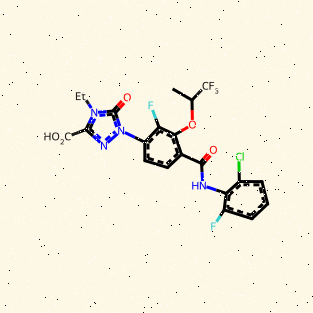 CCn1c(C(=O)O)nn(-c2ccc(C(=O)Nc3c(F)cccc3Cl)c(OC(C)C(F)(F)F)c2F)c1=O